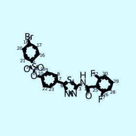 O=C(Nc1nnc(-c2ccc(OS(=O)(=O)c3ccc(Br)cc3)cc2)s1)c1c(F)cccc1F